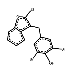 CCc1oc2ccccc2c1Cc1cc(Br)c(O)c(Br)c1